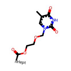 CCCCCCCC(=O)OCCOCn1cc(C)c(=O)[nH]c1=O